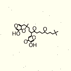 CC(C)(C)CCCC(=O)CCCC(=O)C(CCC(C)(C)Cc1cocc(O)c1=O)c1cc(=O)c(O)co1